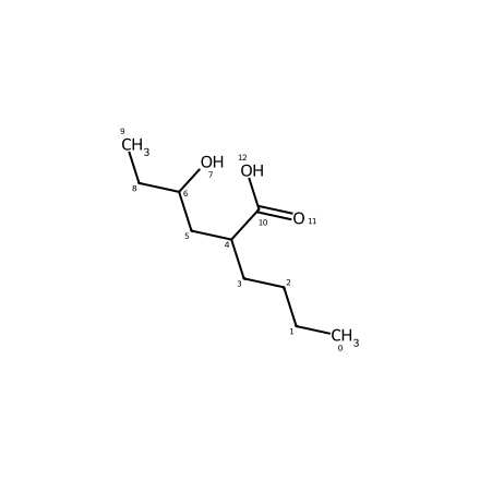 CCCCC(CC(O)CC)C(=O)O